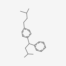 CC(C)CCc1ccc(C(CC(C)C)c2ccccc2)cc1